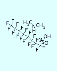 CNC.O=S(=O)(O)C(F)(F)C(F)(F)C(F)(F)C(F)(F)C(F)(F)C(F)(F)C(F)(F)C(F)(F)F